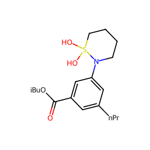 CCCc1cc(C(=O)OCC(C)C)cc(N2CCCCS2(O)O)c1